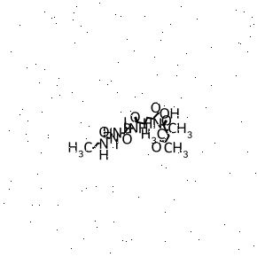 CCCNC(=O)N(I)NC(=O)B(I)NC(=O)CCC(NC(=O)C(C)(C)CC(C)C=O)C(=O)O